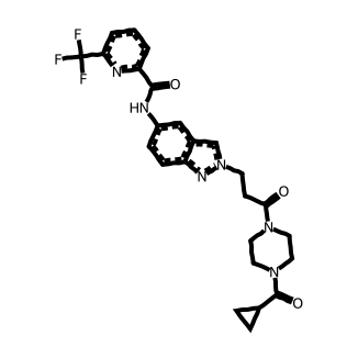 O=C(Nc1ccc2nn(CCC(=O)N3CCN(C(=O)C4CC4)CC3)cc2c1)c1cccc(C(F)(F)F)n1